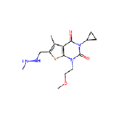 CNNCc1sc2c(c1C)c(=O)n(C1CC1)c(=O)n2CCOC